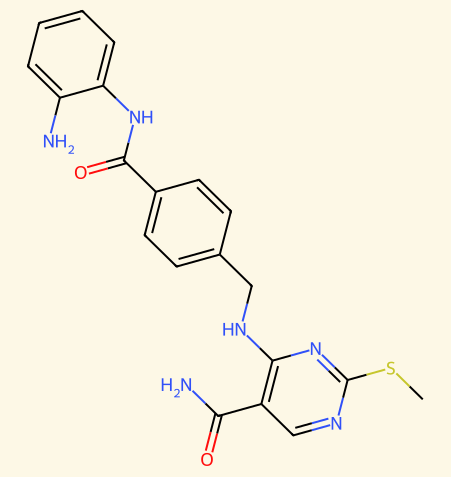 CSc1ncc(C(N)=O)c(NCc2ccc(C(=O)Nc3ccccc3N)cc2)n1